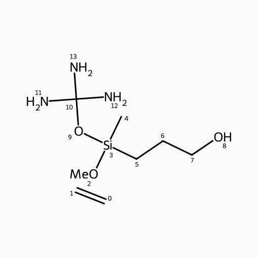 C=C.CO[Si](C)(CCCO)OC(N)(N)N